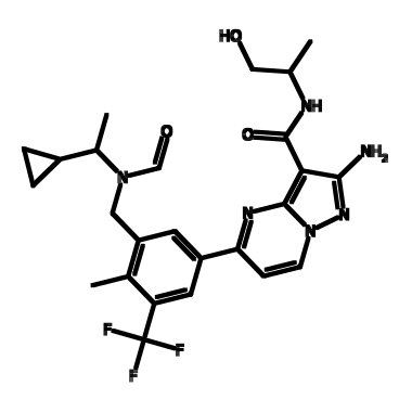 Cc1c(CN(C=O)C(C)C2CC2)cc(-c2ccn3nc(N)c(C(=O)NC(C)CO)c3n2)cc1C(F)(F)F